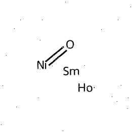 [Ho].[O]=[Ni].[Sm]